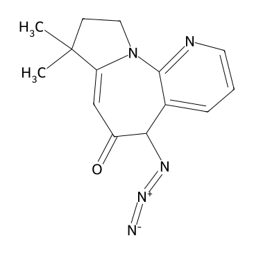 CC1(C)CCN2C1=CC(=O)C(N=[N+]=[N-])c1cccnc12